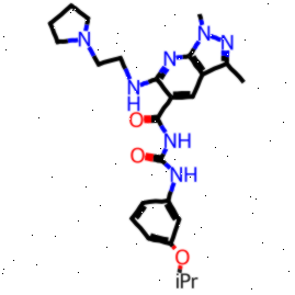 Cc1nn(C)c2nc(NCCN3CCCC3)c(C(=O)NC(=O)Nc3cccc(OC(C)C)c3)cc12